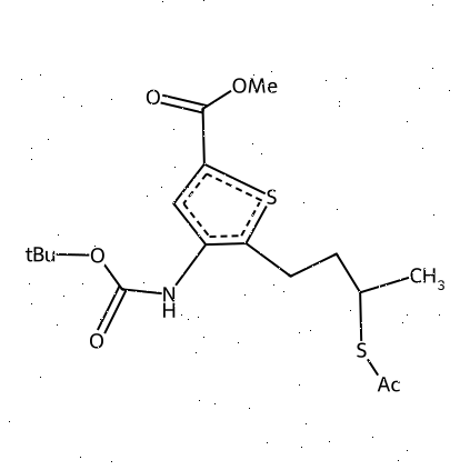 COC(=O)c1cc(NC(=O)OC(C)(C)C)c(CCC(C)SC(C)=O)s1